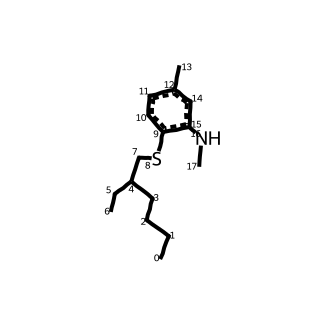 CCCCC(CC)CSc1ccc(C)cc1NC